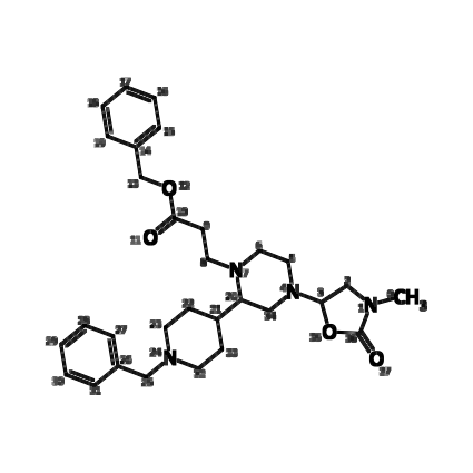 CN1CC(N2CCN(CCC(=O)OCc3ccccc3)C(C3CCN(Cc4ccccc4)CC3)C2)OC1=O